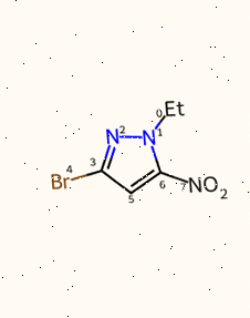 CCn1nc(Br)cc1[N+](=O)[O-]